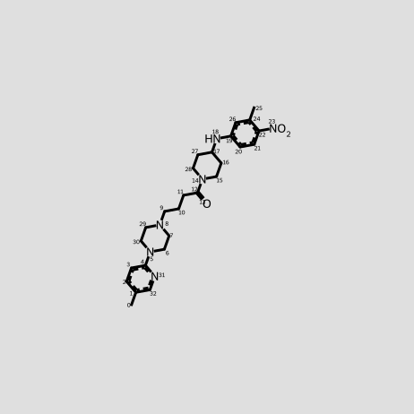 Cc1ccc(N2CCN(CCCC(=O)N3CCC(Nc4ccc([N+](=O)[O-])c(C)c4)CC3)CC2)nc1